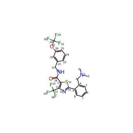 CN(C)Cc1ccccc1-c1nc(C(F)(F)F)c(C(=O)NCc2cccc(OC(F)(F)F)c2)s1